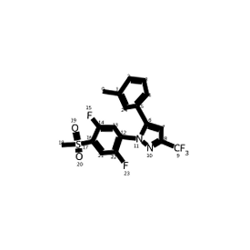 Cc1cccc(-c2cc(C(F)(F)F)nn2-c2cc(F)c(S(C)(=O)=O)cc2F)c1